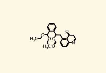 CCOC(OCC)c1ccccc1C(Cc1cccc2c1C(=O)CC=N2)OC=O